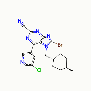 C[C@H]1CC[C@H](Cn2c(Br)nc3nc(C#N)nc(-c4cncc(Cl)c4)c32)CC1